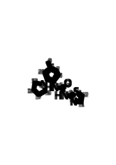 Cc1ccc(NC(=O)Nc2nccs2)c(N2CCCC2)c1